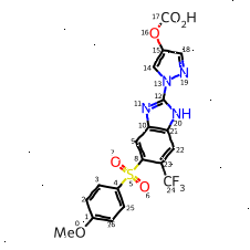 COc1ccc(S(=O)(=O)c2cc3nc(-n4cc(OC(=O)O)cn4)[nH]c3cc2C(F)(F)F)cc1